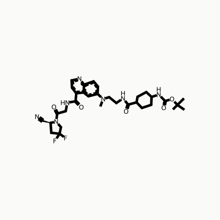 CN(CCNC(=O)C1CCC(NC(=O)OC(C)(C)C)CC1)c1ccc2nccc(C(=O)NCC(=O)N3CC(F)(F)C[C@H]3C#N)c2c1